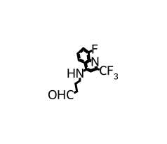 O=CCCCNc1cc(C(F)(F)F)nc2c(F)cccc12